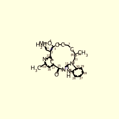 C=C/C1=C(\OC)OCCC[C@@H](C)CN2/C(=N/C(=O)c3cc(C)nc1c3)Nc1ccccc12